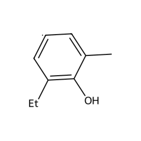 CCc1c[c]cc(C)c1O